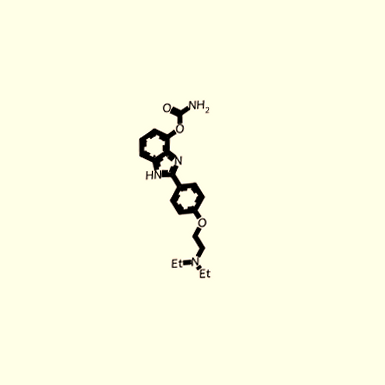 CCN(CC)CCOc1ccc(-c2nc3c(OC(N)=O)cccc3[nH]2)cc1